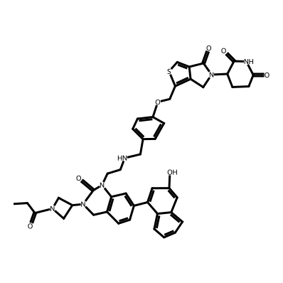 CCC(=O)N1CC(N2Cc3ccc(-c4cc(O)cc5ccccc45)cc3N(CCNCc3ccc(OCc4scc5c4CN(C4CCC(=O)NC4=O)C5=O)cc3)C2=O)C1